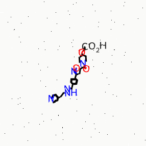 O=C(O)COC1CCN(C(=O)C2CC(c3ccc(C=NNCCc4ccncc4)cc3)=NO2)CC1